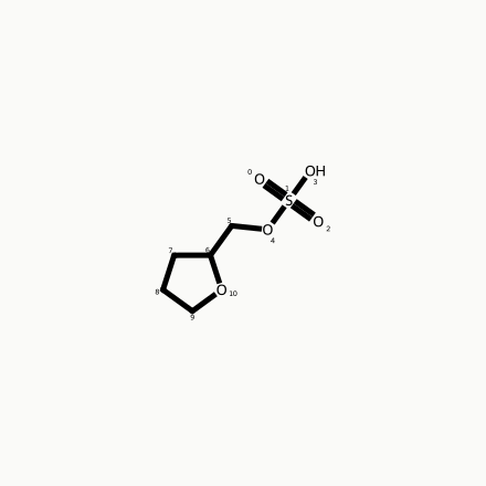 O=S(=O)(O)OCC1CCCO1